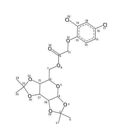 CC1(C)OC2OC(COC(=O)COc3ccc(Cl)cc3Cl)C3OC(C)(C)OC3C2O1